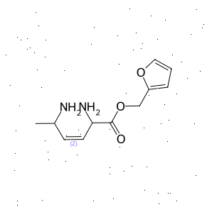 CC(N)/C=C\C(N)C(=O)OCc1ccco1